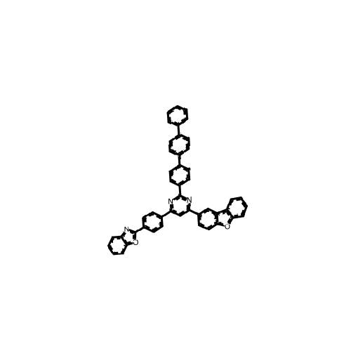 c1ccc(-c2ccc(-c3ccc(-c4nc(-c5ccc(-c6nc7ccccc7o6)cc5)cc(-c5ccc6oc7ccccc7c6c5)n4)cc3)cc2)cc1